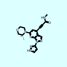 CNC(=O)C#Cc1cc(N2CCOC[C@H]2C)nc2c1cnn2-c1cc[nH]n1